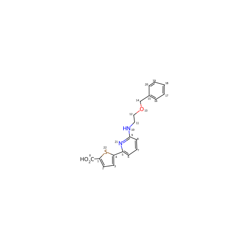 O=C(O)c1ccc(-c2cccc(NCCOCc3ccccc3)n2)s1